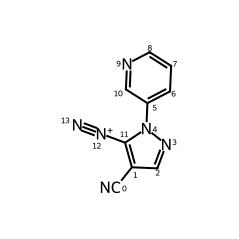 N#Cc1cnn(-c2cccnc2)c1[N+]#N